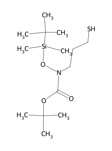 CC(C)(C)OC(=O)N(CCCS)O[Si](C)(C)C(C)(C)C